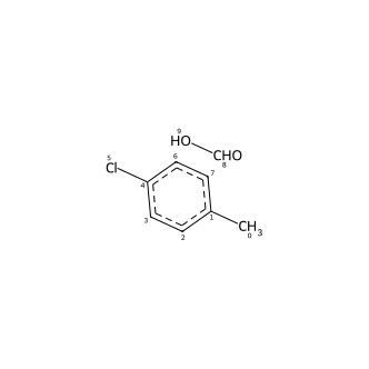 Cc1ccc(Cl)cc1.O=CO